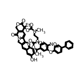 CCC1(OC(=O)N(C)CCN(C)C(=O)OC(C)c2ccc([N+](=O)[O-])c(Oc3ccc(-c4ccccc4)cc3)c2)C(=O)OCc2c1cc1n(c2=O)Cc2cc3cc(O)ccc3nc2-1